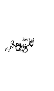 CC(C)COc1c(C(=O)NC23CCC(C(N)=O)(CC2)C3)ccn1C